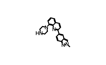 Cn1cc2cc(-c3ccc4cccc(N5CCNCC5)c4n3)ccc2n1